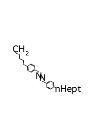 C=CCCCCc1ccc(C=NN=Cc2ccc(CCCCCCC)cc2)cc1